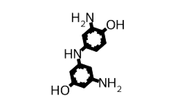 Nc1cc(O)cc(Nc2ccc(O)c(N)c2)c1